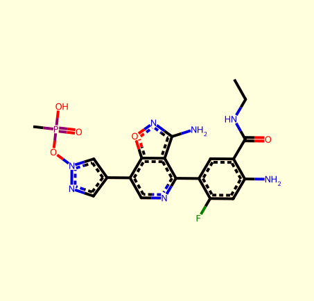 CCNC(=O)c1cc(-c2ncc(-c3cnn(OP(C)(=O)O)c3)c3onc(N)c23)c(F)cc1N